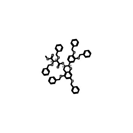 COC(=O)[C@H](OCc1ccccc1)[C@@H](OCc1ccccc1)C(=O)O[C@H]1Cc2c(OCc3ccccc3)cc(OCc3ccccc3)cc2O[C@@H]1c1ccc(OCc2ccccc2)c(OCc2ccccc2)c1